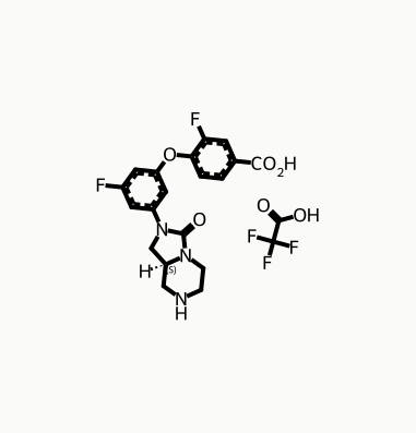 O=C(O)C(F)(F)F.O=C(O)c1ccc(Oc2cc(F)cc(N3C[C@@H]4CNCCN4C3=O)c2)c(F)c1